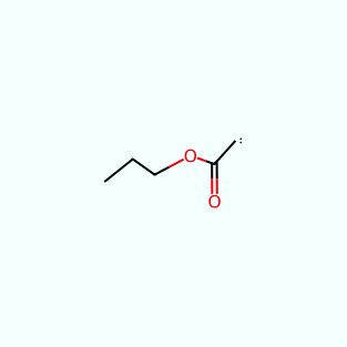 [CH]C(=O)OCCC